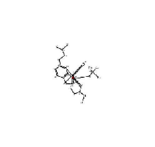 CO[C@H]1CC[C@]2(CC1)Cc1ccc(CCC(C)C)cc1C21NC(=O)N(CC(F)(F)F)C1=O